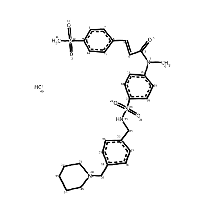 CN(C(=O)C=Cc1ccc(S(C)(=O)=O)cc1)c1ccc(S(=O)(=O)NCc2ccc(CN3CCCCC3)cc2)cc1.Cl